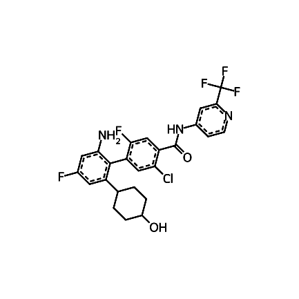 Nc1cc(F)cc(C2CCC(O)CC2)c1-c1cc(Cl)c(C(=O)Nc2ccnc(C(F)(F)F)c2)cc1F